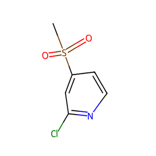 CS(=O)(=O)c1ccnc(Cl)c1